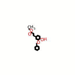 CCOC(=O)/C=C/c1ccc(O)c(OCc2ccccc2)c1